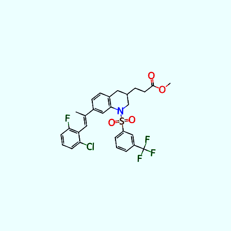 COC(=O)CCC1Cc2ccc(C(C)=Cc3c(F)cccc3Cl)cc2N(S(=O)(=O)c2cccc(C(F)(F)F)c2)C1